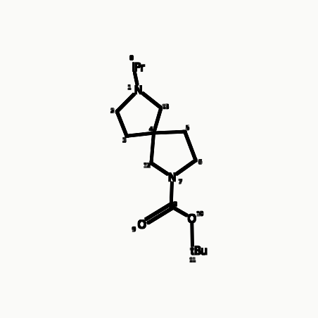 CC(C)N1CCC2(CCN(C(=O)OC(C)(C)C)C2)C1